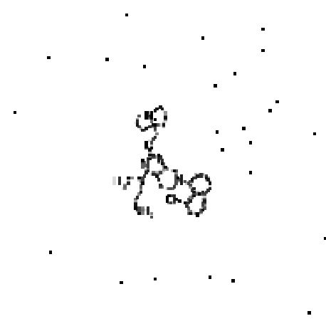 CN(CCN)c1nc(OCC23CCCN2CCC3)nc2c1CCN(c1cccc3cccc(Cl)c13)C2